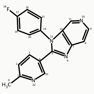 Cc1ccc(-c2nc3ccncc3n2-c2ccc(F)cc2)cn1